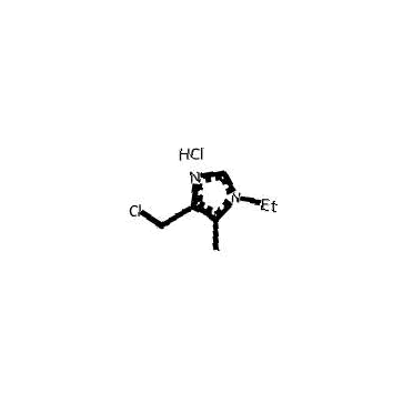 CCn1cnc(CCl)c1C.Cl